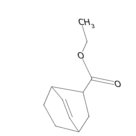 CCOC(=O)C1CC2C=CC1CC2